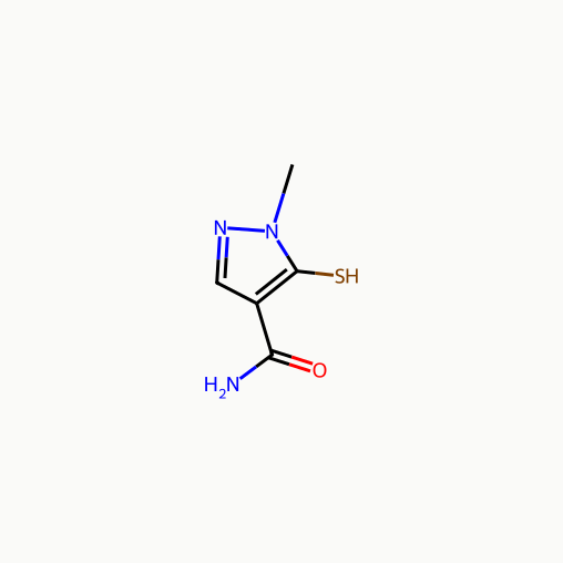 Cn1ncc(C(N)=O)c1S